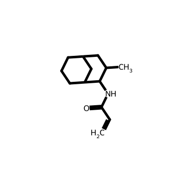 C=CC(=O)NC1C(C)CC2CCCC1C2